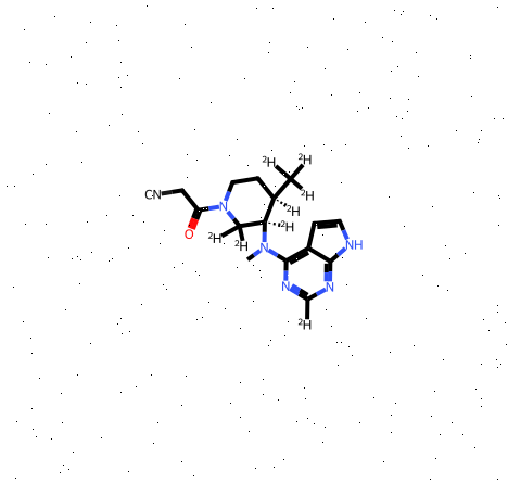 [2H]c1nc(N(C)[C@@]2([2H])C([2H])([2H])N(C(=O)C[N+]#[C-])CC[C@@]2([2H])C([2H])([2H])[2H])c2cc[nH]c2n1